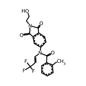 Cc1ccccc1C(=O)N(/C=C/C(F)(F)F)c1ccc2c(c1)C(=O)N(CCO)C2=O